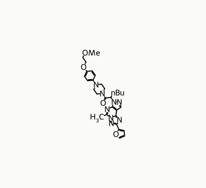 CCCCC(C(=O)N1CCN(c2ccc(OCCOC)cc2)CC1)n1ncc2c1nc(C)n1nc(-c3ccco3)nc21